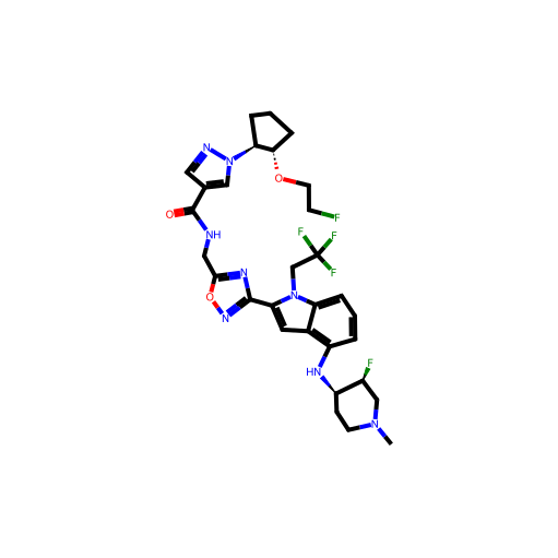 CN1CC[C@@H](Nc2cccc3c2cc(-c2noc(CNC(=O)c4cnn([C@H]5CCC[C@@H]5OCCF)c4)n2)n3CC(F)(F)F)[C@@H](F)C1